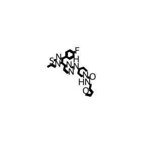 CC1=CN2C(=NC(c3ccc(F)cc3)C2c2ccnc(NC3CCN(C(=O)NCc4ccco4)CC3)n2)S1